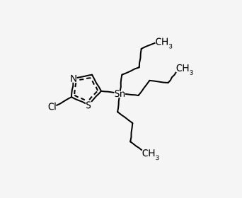 CCC[CH2][Sn]([CH2]CCC)([CH2]CCC)[c]1cnc(Cl)s1